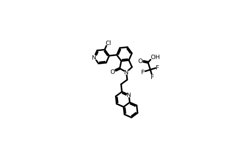 O=C(O)C(F)(F)F.O=C1c2c(cccc2-c2ccncc2Cl)CN1CCc1ccc2ccccc2n1